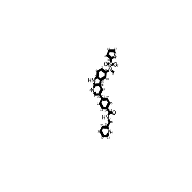 CN(c1ccc2[nH]c3ncc(-c4ccc(C(=O)NCc5ccccn5)cc4)cc3c2c1)S(=O)(=O)c1cccs1